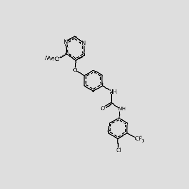 COc1ncncc1Oc1ccc(NC(=O)Nc2ccc(Cl)c(C(F)(F)F)c2)cc1